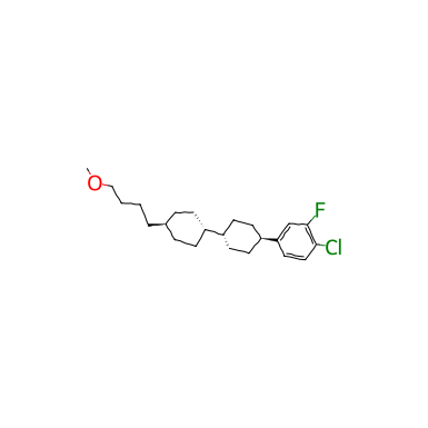 COCCCC[C@H]1CC[C@H]([C@H]2CC[C@H](c3ccc(Cl)c(F)c3)CC2)CC1